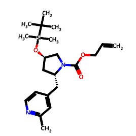 C=CCOC(=O)N1C[C@H](O[Si](C)(C)C(C)(C)C)C[C@H]1Cc1ccnc(C)c1